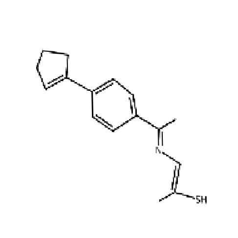 C/C(S)=C\N=C(/C)c1ccc(C2=CCCC2)cc1